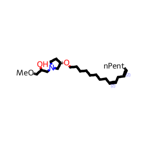 CCCCC/C=C\C/C=C\CCCCCCCCO[C@H]1CCN(CC(O)COC)C1